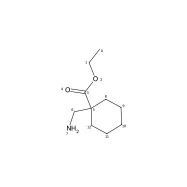 CCOC(=O)C1(CN)CCCCC1